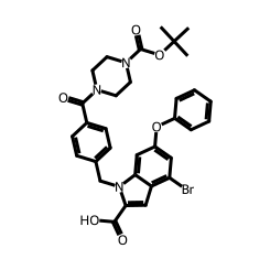 CC(C)(C)OC(=O)N1CCN(C(=O)c2ccc(Cn3c(C(=O)O)cc4c(Br)cc(Oc5ccccc5)cc43)cc2)CC1